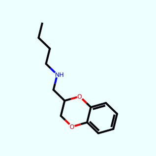 CCCCNCC1COc2ccccc2O1